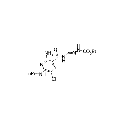 CCCNc1nc(N)c(C(=O)NC=NNC(=O)OCC)nc1Cl